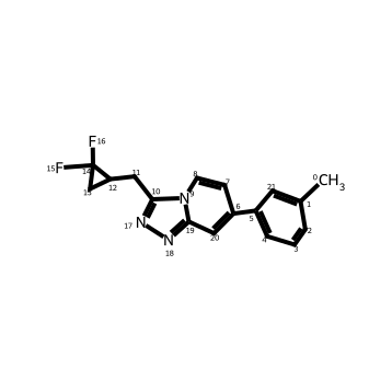 Cc1cccc(-c2ccn3c(CC4CC4(F)F)nnc3c2)c1